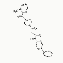 Cc1ccccc1C(=O)N1CCN(C(=O)CC(=O)Nc2ccc(-c3ccccc3)cn2)CC1